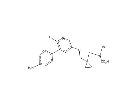 CC(C)(C)N(CC1(COc2cnc(F)c(-c3ccc(N)cc3)c2)CC1)C(=O)O